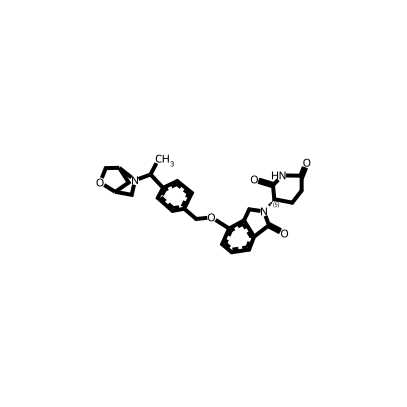 CC(c1ccc(COc2cccc3c2CN([C@H]2CCC(=O)NC2=O)C3=O)cc1)N1CC2CC1CO2